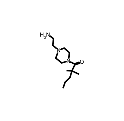 CCCC(C)(C)C(=O)N1CCN(CCN)CC1